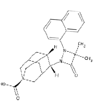 CC1(C)C(=O)N([C@@H]2C3CC4C[C@H]2C[C@@](C(=O)O)(C4)C3)N1c1cccc2ccccc12